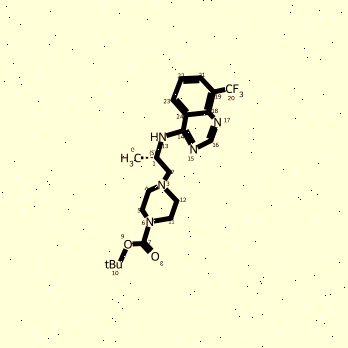 C[C@@H](CN1CCN(C(=O)OC(C)(C)C)CC1)Nc1ncnc2c(C(F)(F)F)cccc12